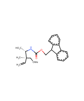 C=C[C@](C)(COC)[C@@H](NC(=O)OCC1c2ccccc2-c2ccccc21)C(=O)O